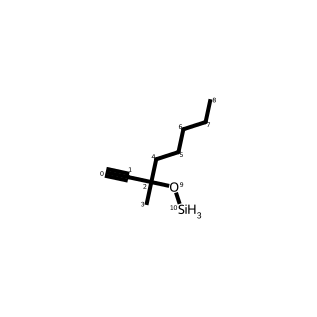 C#CC(C)(CCCCC)O[SiH3]